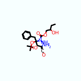 CCC(O)COC(=O)N(N)C(Cc1ccccc1)(OC(C)(C)C)C(O)C(N)=C=O